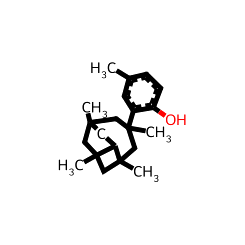 Cc1ccc(O)c(C2(C)CC3(C)CC4C(C)(C3)CC4(C)C2)c1